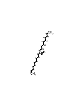 CCCCCCCCC[CH2][Cu-2][CH2]CCCCCCCCC.[Li+].[Li+]